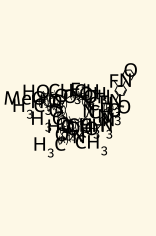 CC[C@H]1OC(=O)[C@H](C)[C@@H](O[C@H]2C[C@@](C)(OC)[C@@H](O)[C@H](C)O2)[C@H](C)[C@@H](O[C@@H]2O[C@H](C)C[C@H](N(C)CCOCc3cn(C[C@H]4CN(c5ccc(N6CCOCC6)c(F)c5)C(=O)O4)nn3)[C@H]2O)[C@](C)(O)C[C@@H](C)CN(C)[C@H](C)[C@@H](O)[C@]1(C)O